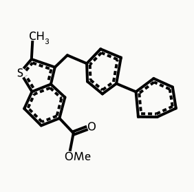 COC(=O)c1ccc2sc(C)c(Cc3ccc(-c4ccccc4)cc3)c2c1